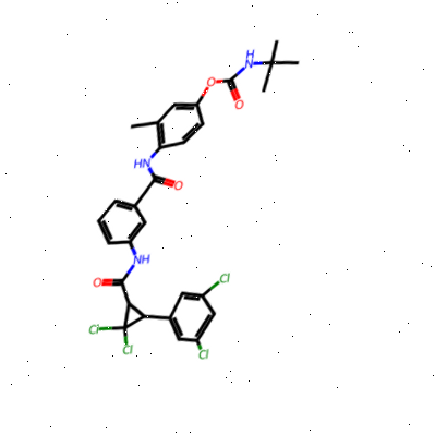 Cc1cc(OC(=O)NC(C)(C)C)ccc1NC(=O)c1cccc(NC(=O)C2C(c3cc(Cl)cc(Cl)c3)C2(Cl)Cl)c1